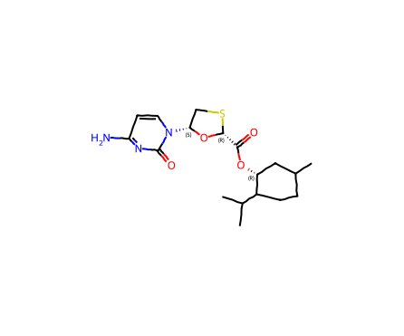 CC1CCC(C(C)C)[C@H](OC(=O)[C@@H]2O[C@H](n3ccc(N)nc3=O)CS2)C1